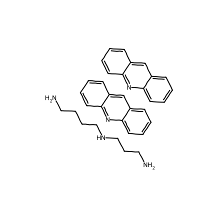 NCCCCNCCCN.c1ccc2nc3ccccc3cc2c1.c1ccc2nc3ccccc3cc2c1